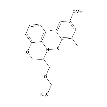 COc1cc(C)c(SN2c3ccccc3OCC2COCC(=O)O)c(C)c1